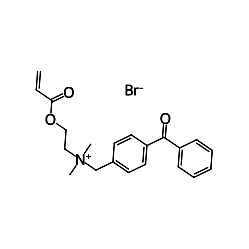 C=CC(=O)OCC[N+](C)(C)Cc1ccc(C(=O)c2ccccc2)cc1.[Br-]